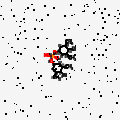 CCC1C(C)CC(OP(=O)(O)OC2CC(C)C(CC)C(C)C2)CC1C